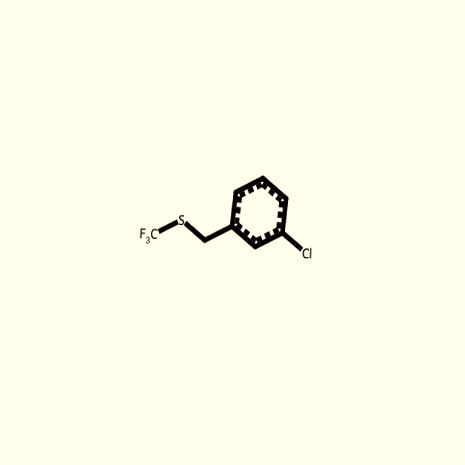 FC(F)(F)SCc1cccc(Cl)c1